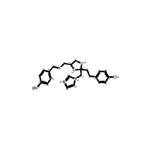 CC(C)(C)c1ccc(CSCC2COC(CCc3ccc(Cl)cc3)(Cn3ccnc3)O2)cc1